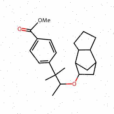 COC(=O)c1ccc(C(C)(C)C(C)OC2CC3CC2C2CCCC32)cc1